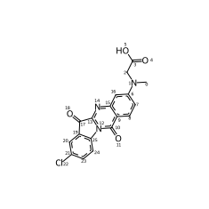 CN(CC(=O)O)c1ccc2c(=O)n3c(nc2c1)C(=O)c1cc(Cl)ccc1-3